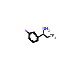 N[C@@H](CC(F)(F)F)c1cccc(I)c1